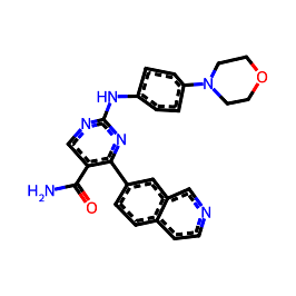 NC(=O)c1cnc(Nc2ccc(N3CCOCC3)cc2)nc1-c1ccc2ccncc2c1